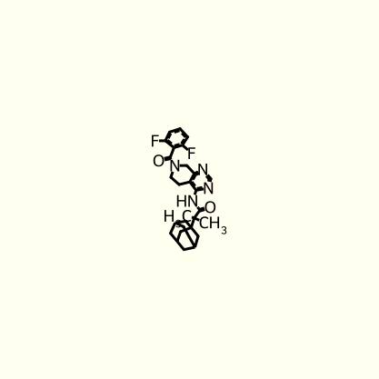 CC(C)(C(=O)Nc1ncnc2c1CCN(C(=O)c1c(F)cccc1F)C2)C12CC3CC(CC(C3)C1)C2